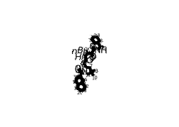 CCCC[C@H](NC(=O)OC1CC(C)(C)CN1C(=O)c1ccc2ccccc2c1)C(=O)C(=O)N[C@H](C)c1ccccc1